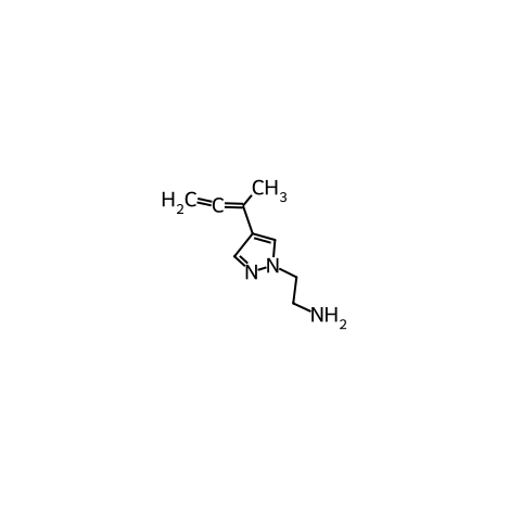 C=C=C(C)c1cnn(CCN)c1